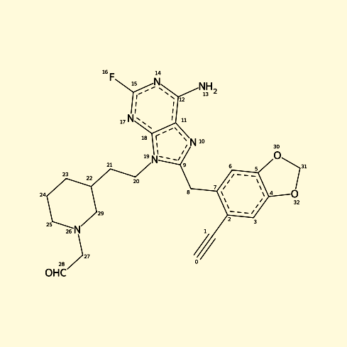 C#Cc1cc2c(cc1Cc1nc3c(N)nc(F)nc3n1CCC1CCCN(CC=O)C1)OCO2